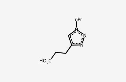 CCCn1cc(CCC(=O)O)nn1